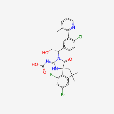 Cc1cccnc1-c1cc([C@@H](CO)N2C(=O)[C@@](CC(C)(C)C)(c3ccc(Br)cc3F)N/C2=N\C(=O)O)ccc1Cl